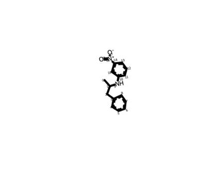 CC(Cc1ccccc1)Nc1cccc([N+](=O)[O-])c1